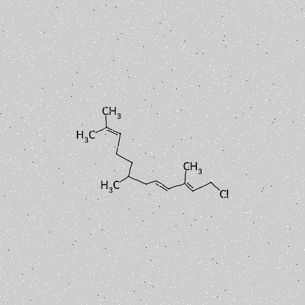 CC(C)=CCCC(C)C/C=C/C(C)=C/CCl